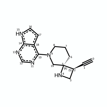 C#C[C@H]1CN[C@]12CCCN(c1ncnc3[nH]ccc13)C2